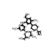 Cc1nc(Nc2cc(C3CCN(C4COC4)CC3)c(C)cc2C=N)cc(N2CCC(C)OC(CO)C2)n1